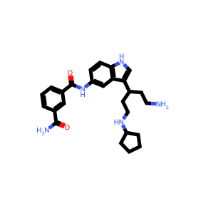 NCCC(CCNC1CCCC1)c1c[nH]c2ccc(NC(=O)c3cccc(C(N)=O)c3)cc12